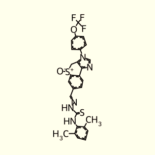 Cc1cccc(C)c1NC(=S)N/N=C/c1ccc2c(c1)[S+]([O-])Cc1c-2ncn1-c1ccc(OC(F)(F)F)cc1